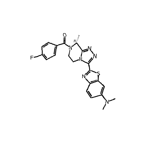 C[C@@H]1c2nnc(-c3nc4ccc(N(C)C)cc4s3)n2CCN1C(=O)c1ccc(F)cc1